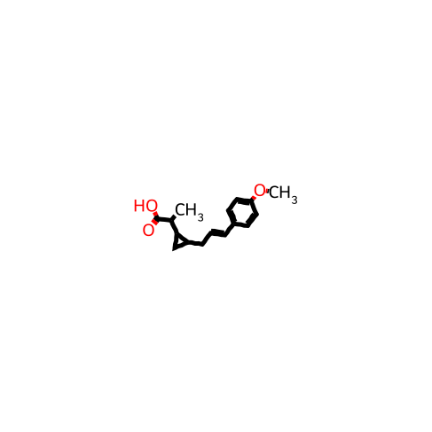 COc1ccc(C=CCC2CC2C(C)C(=O)O)cc1